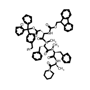 CC(C)Cc1ccc(C(OC(=O)C[C@H](NC(=O)OCC2c3ccccc3-c3ccccc32)C(=O)N(C)[C@@H](Cc2ccccc2)C(=O)N(C)[C@@H](Cc2ccccc2)C(=O)N[C@@H](C)C(=O)N2CCCCC2)(c2ccccc2)c2ccccc2Cl)cc1